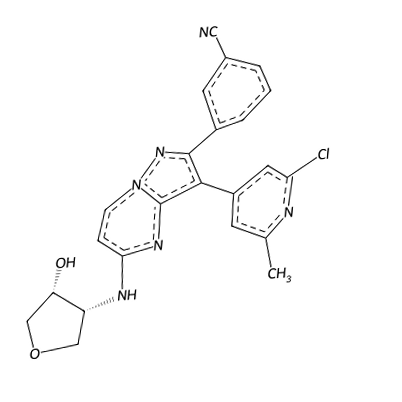 Cc1cc(-c2c(-c3cccc(C#N)c3)nn3ccc(N[C@@H]4COC[C@@H]4O)nc23)cc(Cl)n1